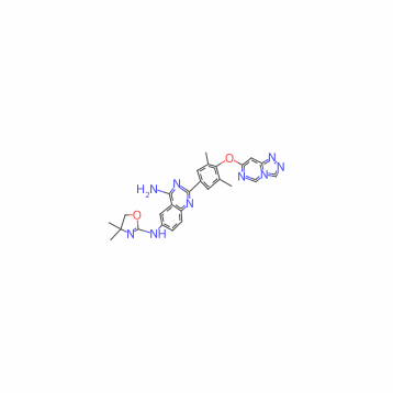 Cc1cc(-c2nc(N)c3cc(NC4=NC(C)(C)CO4)ccc3n2)cc(C)c1Oc1cc2nncn2cn1